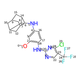 COc1cc(NC2C3CC4CC(C3)CC2C4)ccc1Nc1ncc(C(F)(F)F)c(Cl)n1